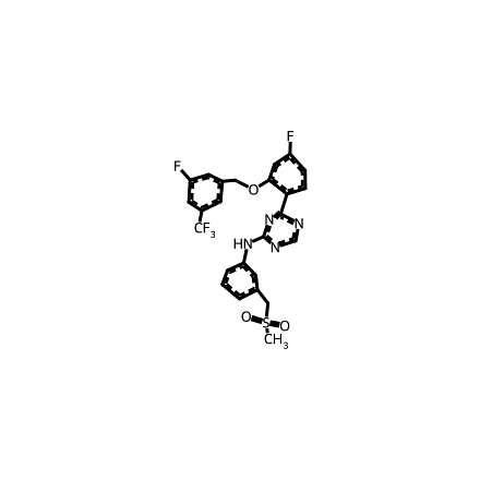 CS(=O)(=O)Cc1cccc(Nc2ncnc(-c3ccc(F)cc3OCc3cc(F)cc(C(F)(F)F)c3)n2)c1